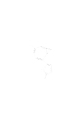 Cc1cnc(C2=CC=C(Br)C=C3CC32)o1